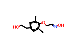 Cc1cc(CCO)cc(C)c1OCC=NO